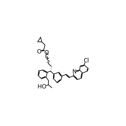 CC(O)Cc1ccccc1[C@H](CCSCOC(=O)CC1CC1)c1cccc(C=Cc2ccc3ccc(Cl)cc3n2)c1